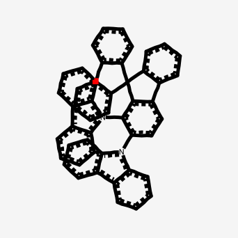 c1ccc2c(c1)-c1ccccc1C21c2ccccc2-c2ccc(-n3c4ccccc4c4ccccc43)c(-n3c4ccccc4c4ccccc43)c21